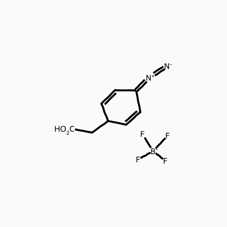 F[B-](F)(F)F.[N-]=[N+]=C1C=CC(CC(=O)O)C=C1